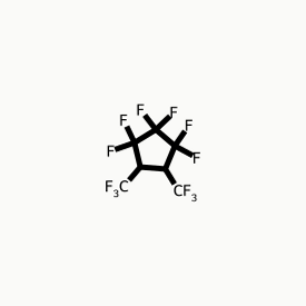 FC(F)(F)C1C(C(F)(F)F)C(F)(F)C(F)(F)C1(F)F